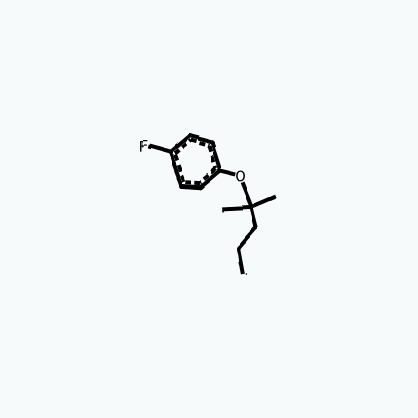 [CH2]CCC(C)(C)Oc1ccc(F)cc1